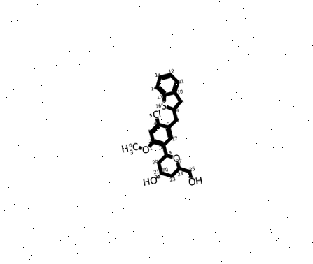 COc1cc(Cl)c(CC2Cc3ccccc3S2)cc1C1C[C@@H](O)CC(CO)O1